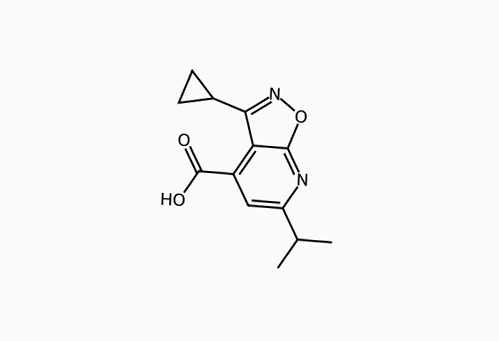 CC(C)c1cc(C(=O)O)c2c(C3CC3)noc2n1